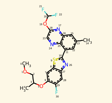 COCC(C)Oc1cc2sc(-c3cc(C)cc4nc(OC(F)F)cnc34)nc2cc1F